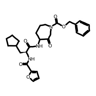 O=C(N[C@@H](CC1CCCC1)C(=O)NC1CCCN(C(=O)OCc2ccccc2)CC1=O)c1ccco1